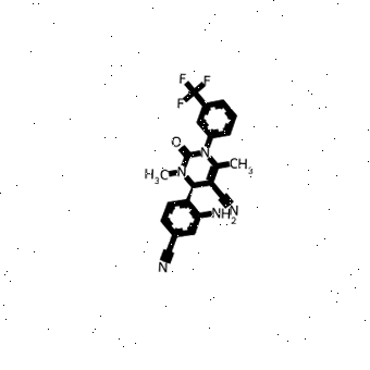 CC1=C(C#N)[C@@H](c2ccc(C#N)cc2N)N(C)C(=O)N1c1cccc(C(F)(F)F)c1